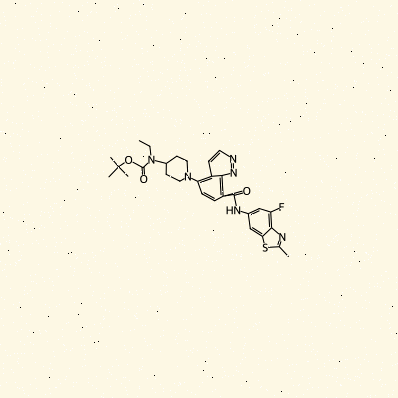 CCN(C(=O)OC(C)(C)C)C1CCN(c2ccc(C(=O)Nc3cc(F)c4nc(C)sc4c3)c3nnccc23)CC1